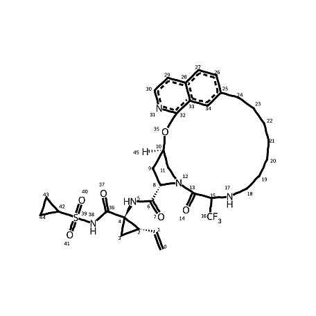 C=C[C@@H]1C[C@]1(NC(=O)[C@@H]1C[C@@H]2CN1C(=O)C(C(F)(F)F)NCCCCCCCc1ccc3ccnc(c3c1)O2)C(=O)NS(=O)(=O)C1CC1